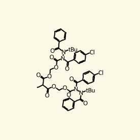 CC(C(=O)OCOC(=O)N(C(=O)c1ccc(Cl)cc1)N(C(=O)c1ccccc1)C(C)(C)C)C(=O)OCOC(=O)N(C(=O)c1ccc(Cl)cc1)N(C(=O)c1ccccc1)C(C)(C)C